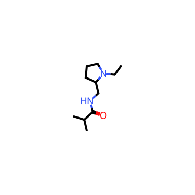 CCN1CCCC1CNC(=O)C(C)C